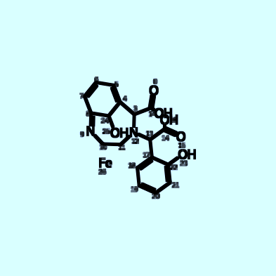 O=C(O)C1C2=CC=CC(=NCCN1C(C(=O)O)c1ccccc1O)C2O.[Fe]